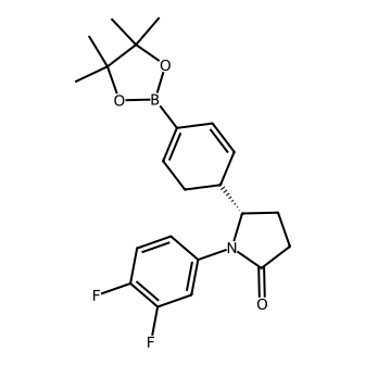 CC1(C)OB(C2=CCC([C@@H]3CCC(=O)N3c3ccc(F)c(F)c3)C=C2)OC1(C)C